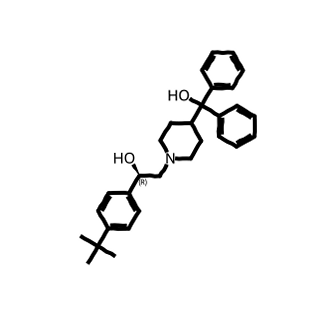 CC(C)(C)c1ccc([C@@H](O)CN2CCC(C(O)(c3ccccc3)c3ccccc3)CC2)cc1